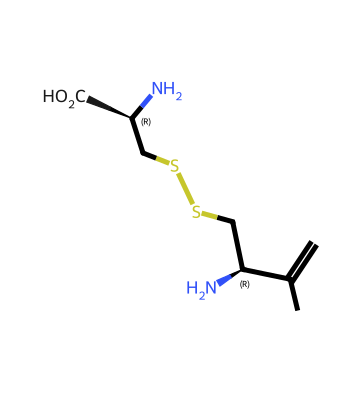 C=C(C)[C@@H](N)CSSC[C@H](N)C(=O)O